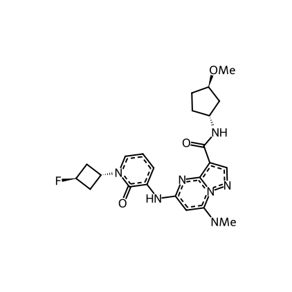 CNc1cc(Nc2cccn([C@H]3C[C@H](F)C3)c2=O)nc2c(C(=O)N[C@@H]3CC[C@@H](OC)C3)cnn12